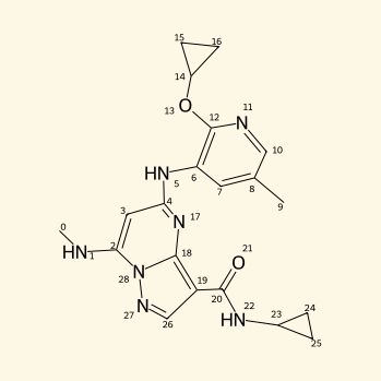 CNc1cc(Nc2cc(C)cnc2OC2CC2)nc2c(C(=O)NC3CC3)cnn12